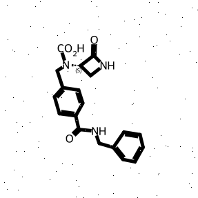 O=C(NCc1ccccc1)c1ccc(CN(C(=O)O)[C@H]2CNC2=O)cc1